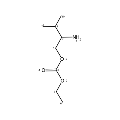 CCOC(=O)OCC(N)C(C)C